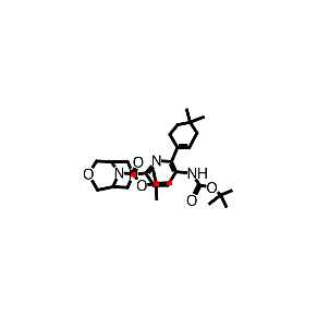 CC1(C)CC=C(c2nc(N3CC4COCC(C3)N4C(=O)OC(C)(C)C)ccc2NC(=O)OC(C)(C)C)CC1